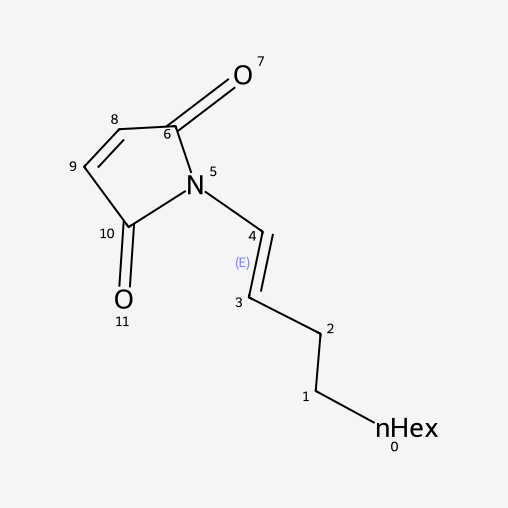 CCCCCCCC/C=C/N1C(=O)C=CC1=O